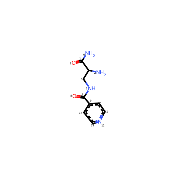 NC(=O)C(N)CNC(=O)c1ccncc1